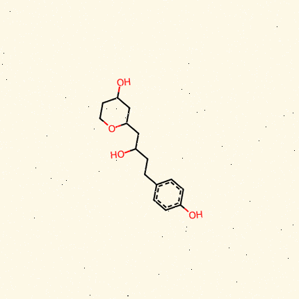 Oc1ccc(CCC(O)CC2CC(O)CCO2)cc1